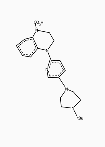 CC(C)(C)N1CCN(c2ccc(N3CCN(C(=O)O)c4ccccc43)nc2)CC1